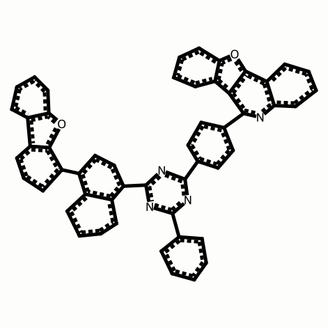 c1ccc(-c2nc(-c3ccc(-c4nc5ccccc5c5oc6ccccc6c45)cc3)nc(-c3ccc(-c4cccc5c4oc4ccccc45)c4ccccc34)n2)cc1